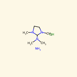 CN(C)C1N(C)CCN1C.Cl.N